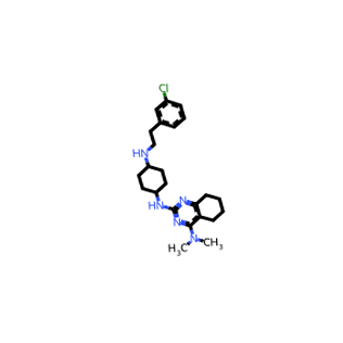 CN(C)c1nc(NC2CCC(NCCc3cccc(Cl)c3)CC2)nc2c1CCCC2